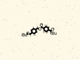 CCC(C)OCC1CCC(COC(=O)C2CCC(C(=O)C(C)(C)C)CC2)CC1